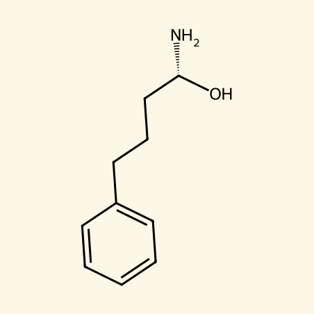 N[C@H](O)CCCc1ccccc1